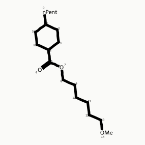 CCCCCC1CCC(C(=O)OCCCCCCOC)CC1